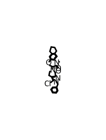 CN1C(=O)[C@@H](N2CCc3c(nn(Cc4ccccc4)c3Cl)C2=O)COc2cc3c(cc21)CCCC3